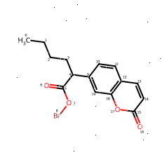 CCCCC(C(=O)OBr)c1ccc2ccc(=O)oc2c1